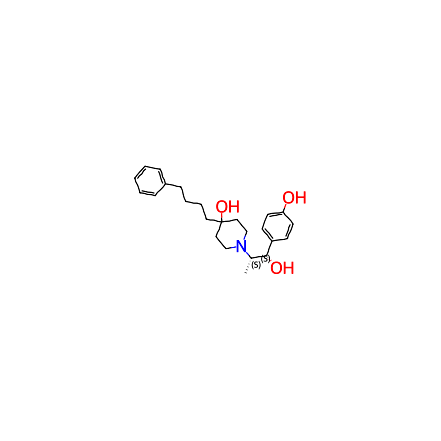 C[C@@H]([C@@H](O)c1ccc(O)cc1)N1CCC(O)(CCCCc2ccccc2)CC1